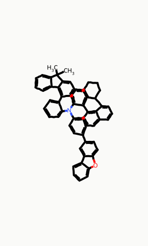 CC1(C)c2ccccc2-c2c(-c3ccccc3N(c3ccc(-c4ccc5oc6ccccc6c5c4)cc3)c3ccccc3-c3cccc4cccc(C5CCCCC5)c34)cccc21